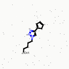 CCCCCCCCCCCCn1cc(C2=CC=CC2)nn1